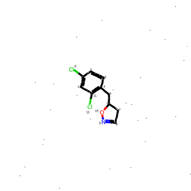 Clc1ccc(CC2CC=NO2)c(Cl)c1